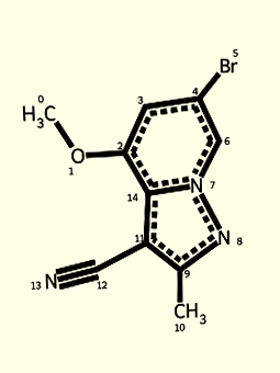 COc1cc(Br)cn2nc(C)c(C#N)c12